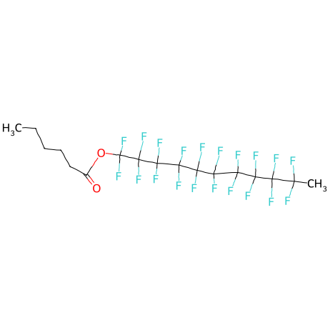 CCCCCC(=O)OC(F)(F)C(F)(F)C(F)(F)C(F)(F)C(F)(F)C(F)(F)C(F)(F)C(F)(F)C(F)(F)C(C)(F)F